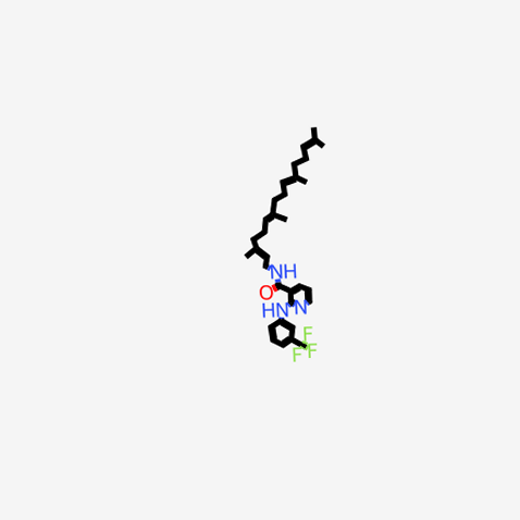 CC(C)=CCC/C(C)=C/CC/C(C)=C/CC/C(C)=C/CNC(=O)c1cccnc1Nc1cccc(C(F)(F)F)c1